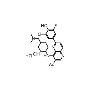 CC(=O)c1cnc2ccc(-c3cc(F)c(O)c(Cl)c3)nc2c1NC1CCC(CN(C)C)CC1.Cl.Cl